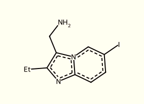 CCc1nc2ccc(I)cn2c1CN